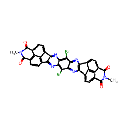 CN1C(=O)c2ccc3c4c(ccc(c24)C1=O)-c1nc2c(Br)c4nc5c(nc4c(Br)c2nc1-3)-c1ccc2c3c(ccc-5c13)C(=O)N(C)C2=O